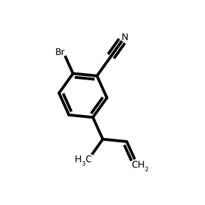 C=C[C](C)c1ccc(Br)c(C#N)c1